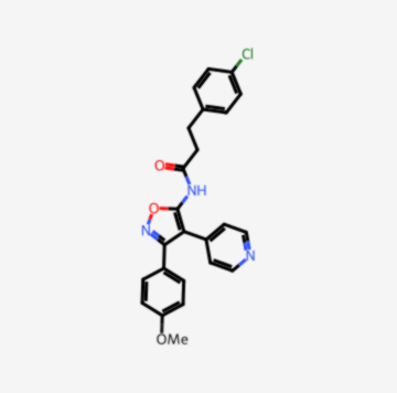 COc1ccc(-c2noc(NC(=O)CCc3ccc(Cl)cc3)c2-c2ccncc2)cc1